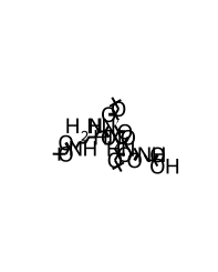 CC(C)(C)OC(=O)C[C@@H](NC(=O)[C@H](N)CCCCNC(=O)OC(C)(C)C)C(=O)N[C@H](CC(=O)OC(C)(C)C)C(=O)NCC(=O)NCC(=O)O